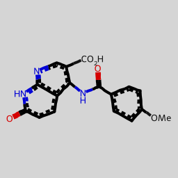 COc1ccc(C(=O)Nc2c(C(=O)O)cnc3[nH]c(=O)ccc23)cc1